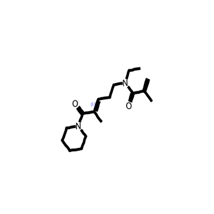 C=C(C)C(=O)N(CC)CC/C=C(\C)C(=O)N1CCCCC1